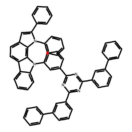 c1ccc(-c2cccc(-c3nc(-c4cccc(-c5ccccc5)c4)nc(-c4cccc(-n5c6ccccc6c6ccc7cc(-c8ccccc8)n(-c8ccccc8)c7c65)c4)n3)c2)cc1